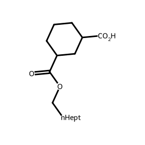 CCCCCCCCOC(=O)C1CCCC(C(=O)O)C1